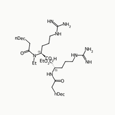 CCCCCCCCCCCC(=O)N(CC)[C@@H](CCCNC(=N)N)C(=O)O.CCCCCCCCCCCC(=O)N[C@@H](CCCNC(=N)N)C(=O)OCC